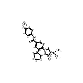 CN(C)[C@H]1CN(c2ncc(C(=O)Nc3ccc(OC(F)(F)F)cc3)cc2-c2cncnc2)C[C@@H]1O